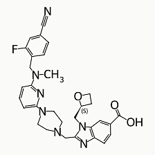 CN(Cc1ccc(C#N)cc1F)c1cccc(N2CCN(Cc3nc4ccc(C(=O)O)cc4n3C[C@@H]3CCO3)CC2)n1